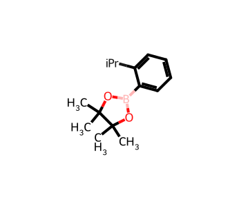 CC(C)c1ccccc1B1OC(C)(C)C(C)(C)O1